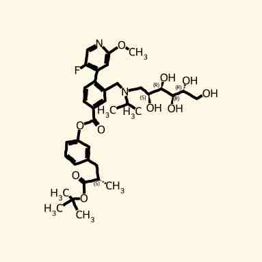 COc1cc(-c2ccc(C(=O)Oc3cccc(C[C@H](C)C(=O)OC(C)(C)C)c3)cc2CN(C[C@H](O)[C@@H](O)[C@H](O)[C@H](O)CO)C(C)C)c(F)cn1